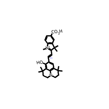 C[N+]1=C(/C=C/c2cc3c4c(c2O)C(C)(C)CCN4CCC3(C)C)C(C)(C)c2cc(C(=O)O)ccc21